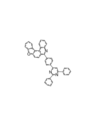 c1ccc(-c2cc(-c3ccc(-c4nc5ccccc5c5c4ccc4oc6ccccc6c45)cc3)nc(-c3ccccc3)n2)cc1